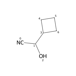 N#CC(O)C1CCC1